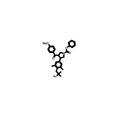 CSc1ccc(C(=O)C2CN(C(=O)Oc3ccccc3)CC2c2cc(C)c(CC(C)(C)C(C)=O)c(C)c2)cc1